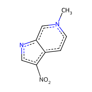 Cn1ccc2c([N+](=O)[O-])cnc-2c1